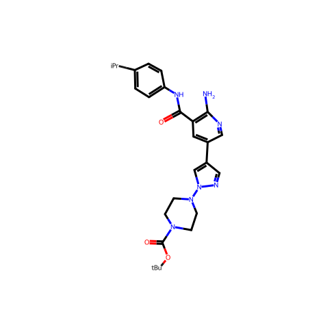 CC(C)c1ccc(NC(=O)c2cc(-c3cnn(N4CCN(C(=O)OC(C)(C)C)CC4)c3)cnc2N)cc1